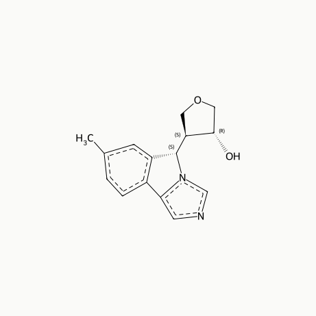 Cc1ccc2c(c1)[C@H]([C@H]1COC[C@@H]1O)n1cncc1-2